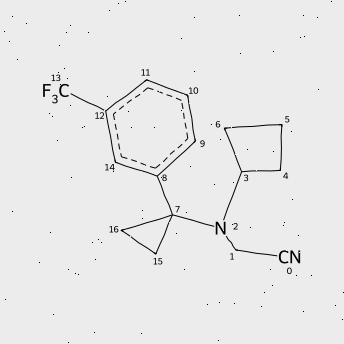 N#CCN(C1CCC1)C1(c2cccc(C(F)(F)F)c2)CC1